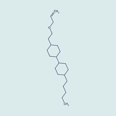 C=CCOCCC1CCC(C2CCC(CCCCC)CC2)CC1